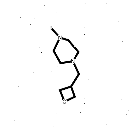 IN1CCN(CC2COC2)CC1